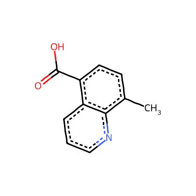 Cc1ccc(C(=O)O)c2cccnc12